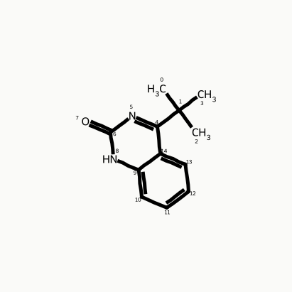 CC(C)(C)c1nc(=O)[nH]c2ccccc12